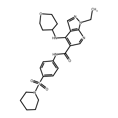 CCn1ncc2c(NC3CCOCC3)c(C(=O)Nc3ccc(S(=O)(=O)N4CCCCC4)cc3)cnc21